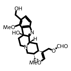 CC[C@@H]1CN2CC[C@@]3(O)C(=Nc4ccc(CO)c(OC)c43)[C@@H]2C[C@@H]1/C(=C\OC)COC=O